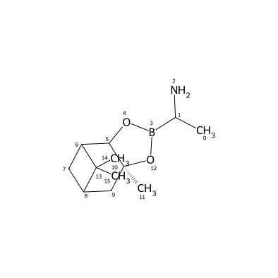 CC(N)B1OC2C3CC(C[C@]2(C)O1)C3(C)C